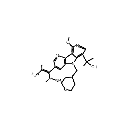 COc1ncc(C(C)(C)O)c2c1c1ncc(/C(=C(\C)N)N(C)N)cc1n2CC1CCOCC1